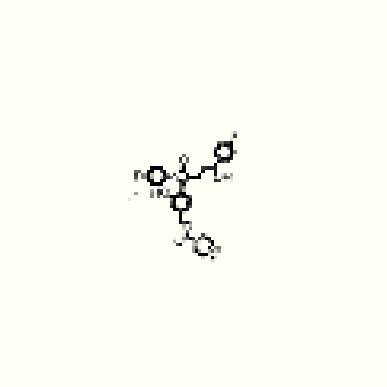 C[N+]1(C)CCN(C(=O)OCc2ccc(C3C(CCC(O)c4ccc(F)cc4)C(=O)N3c3ccc(F)cc3)c(O)c2)CC1.[I-]